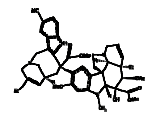 CCC1=C[C@H]2CN(C1)Cc1c([nH]c3ccc(C#N)cc13)[C@@](C(=O)OC)(c1cc3c(cc1OC)N(C)[C@H]1[C@@](O)(C(=O)OC)[C@H](OC(C)=O)[C@]4(CC)C=CCN5CC[C@]31[C@@H]54)C2